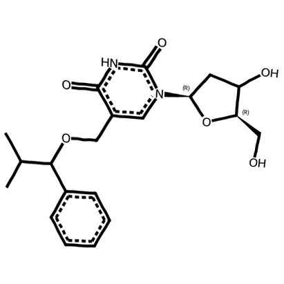 CC(C)C(OCc1cn([C@H]2CC(O)[C@@H](CO)O2)c(=O)[nH]c1=O)c1ccccc1